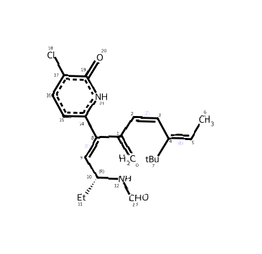 C=C(/C=C\C(=C/C)C(C)(C)C)/C(=C\[C@@H](CC)NC=O)c1ccc(Cl)c(=O)[nH]1